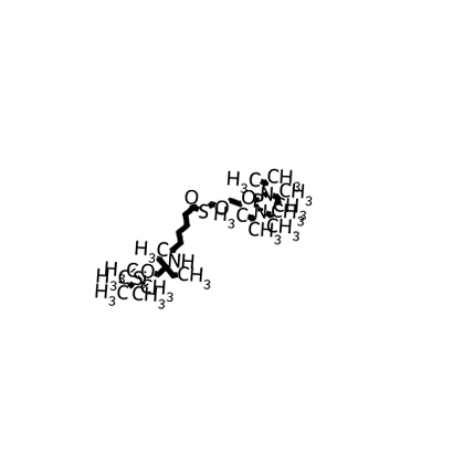 CCC(CC)(CO[Si](C)(C)C(C)(C)C)NCCCCCC(=O)SCOCCOP(N(C(C)C)C(C)C)N(C(C)C)C(C)C